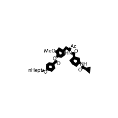 CCCCCCCOc1ccc(C(=O)Oc2ccc(CC(NC(=O)c3cccc(NC(=O)C4CC4)c3)C(C)=O)cc2OC)cc1